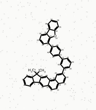 CC1(C)c2ccccc2-c2cc3ccc4ccc(-c5cccc(-c6ccc(-c7cccc8c7oc7ccccc78)cc6)c5)cc4c3cc21